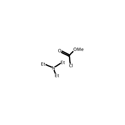 CCN(CC)CC.COC(=O)Cl